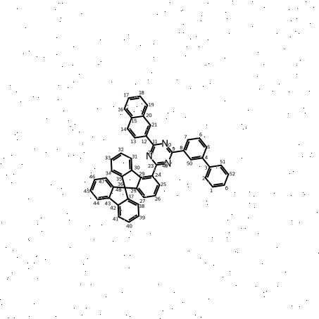 c1ccc(-c2cccc(-c3nc(-c4ccc5ccccc5c4)nc(-c4cccc5c4-c4ccccc4C54c5ccccc5-c5ccccc54)n3)c2)cc1